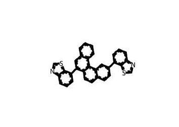 c1ccc2c(c1)cc(-c1cccc3ncsc13)c1ccc3ccc(-c4cccc5ncsc45)cc3c12